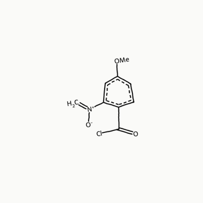 C=[N+]([O-])c1cc(OC)ccc1C(=O)Cl